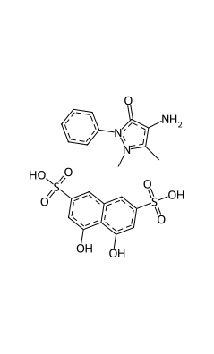 Cc1c(N)c(=O)n(-c2ccccc2)n1C.O=S(=O)(O)c1cc(O)c2c(O)cc(S(=O)(=O)O)cc2c1